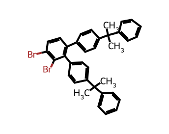 CC(C)(c1ccccc1)c1ccc(-c2ccc(Br)c(Br)c2-c2ccc(C(C)(C)c3ccccc3)cc2)cc1